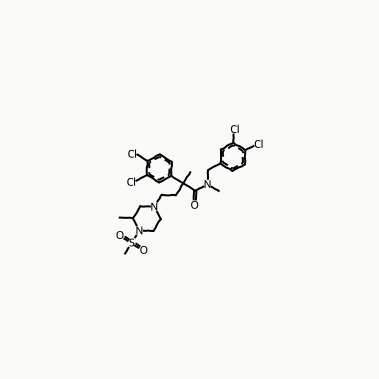 CC1CN(CCC(C)(C(=O)N(C)Cc2ccc(Cl)c(Cl)c2)c2ccc(Cl)c(Cl)c2)CCN1S(C)(=O)=O